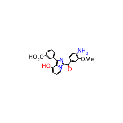 COc1cc(C(=O)c2nc(-c3cccc(C(=O)O)c3)c3c(O)cccn23)ccc1N